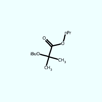 CCCOC(=O)C(C)(C)OCC(C)C